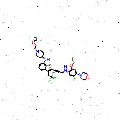 COCCN1CCC(Nc2cccc3c(CC(F)(F)F)c(C#CCNc4cc(F)c(N5CCOCC5)cc4OCF)sc23)CC1